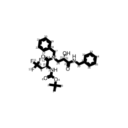 CC(C)(C)OC(=O)N[C@@H](CC(F)(F)F)C(=O)N(Cc1ccccc1)C[C@H](O)C(=O)NCc1ccccc1